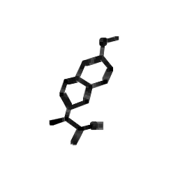 C=C(O)[C@@H](C)c1ccc2cc(OC)ccc2c1